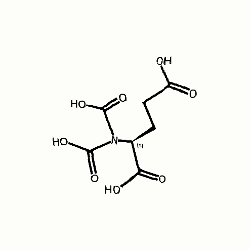 O=C(O)CC[C@@H](C(=O)O)N(C(=O)O)C(=O)O